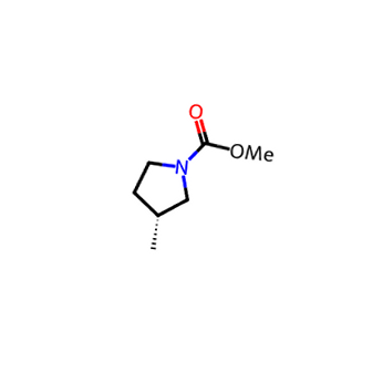 COC(=O)N1CC[C@@H](C)C1